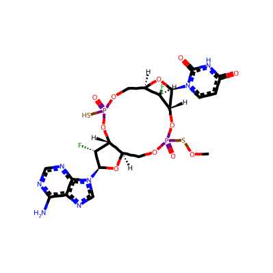 COSP1(=O)OC[C@H]2O[C@@H](n3cnc4c(N)ncnc43)[C@H](F)[C@@H]2OP(=O)(S)OC[C@H]2O[C@@H](n3ccc(=O)[nH]c3=O)[C@H](O1)[C@@H]2F